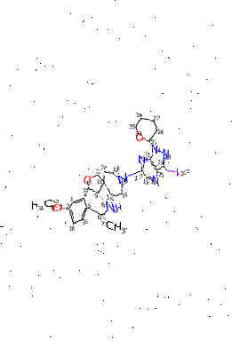 COc1ccc([C@@H](C)N[C@@H]2COCC23CCN(c2cnc4c(I)nn(C5CCCCO5)c4n2)CC3)cc1